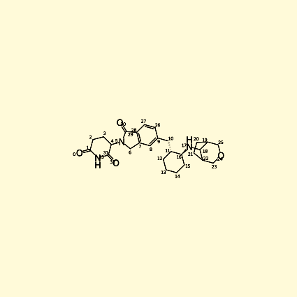 O=C1CCC(N2Cc3cc(C[C@H]4CCCC[C@@H]4NC4C5CCC4COC5)ccc3C2=O)C(=O)N1